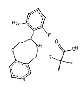 O=C(O)C(F)(F)F.Oc1cccc(F)c1C1COc2ccncc2CN1